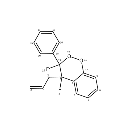 C=CCC1(F)c2ccccc2OOC1(F)c1ccccc1